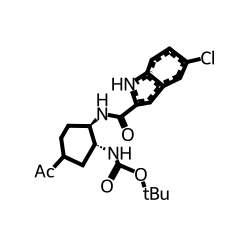 CC(=O)C1CC[C@@H](NC(=O)c2cc3cc(Cl)ccc3[nH]2)[C@H](NC(=O)OC(C)(C)C)C1